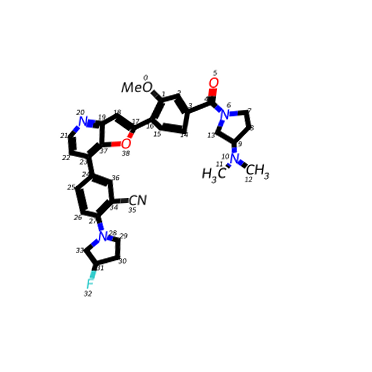 COc1cc(C(=O)N2CCC(N(C)C)C2)ccc1-c1cc2nccc(-c3ccc(N4CCC(F)C4)c(C#N)c3)c2o1